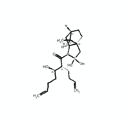 C=CCC[C@@H](O)[C@@H](CCC=C)C(=O)N1[C@H]2C[C@@H]3CC[C@@]2(CS1(O)O)C3(C)C